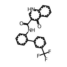 O=C(Nc1ccccc1-c1cccc(C(F)(F)F)c1)c1c[nH]c2ccccc2c1=O